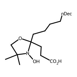 CCCCCCCCCCCCCCC1(CCC(=O)O)OCC(C)(C)N1O